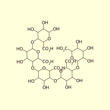 O=C(O)C1OC(OC2C(C(=O)O)OC(OC3C(C(=O)O)OC(OC4C(C(=O)O)OC(OC5C(C(=O)O)OC(O)C(O)C5O)C(O)C4O)C(O)C3O)C(O)C2O)C(O)C(O)C1O